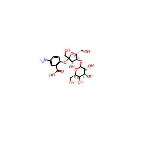 Nc1ccc(OC2(CO)O[C@H](CO)[C@@H](OC3O[C@H](CO)[C@H](O)[C@H](O)[C@H]3O)[C@@H]2O)c(C(=O)O)c1